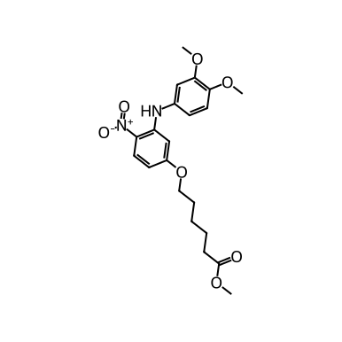 COC(=O)CCCCCOc1ccc([N+](=O)[O-])c(Nc2ccc(OC)c(OC)c2)c1